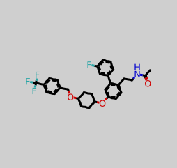 CC(=O)NCCc1ccc(OC2CCC(OCc3ccc(C(F)(F)F)cc3)CC2)cc1-c1cccc(F)c1